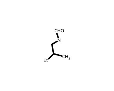 CCC(C)C[N]C=O